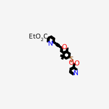 CCOC(=O)c1ccc(C#CC2=CC3=C(CO2)CC(SOC(=O)c2cccnc2)CC3(C)C)nc1